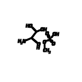 COS(=O)(=O)O.NC(O)C(O)O